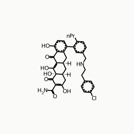 CCCc1ccc(CNCCc2ccc(Cl)cc2)cc1-c1ccc(O)c2c1C[C@H]1C[C@H]3CC(O)=C(C(N)=O)C(=O)[C@@]3(O)C(O)=C1C2=O